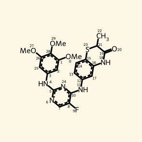 COc1cc(Nc2ncc(F)c(Nc3ccc4c(c3)NC(=O)C(C)S4)n2)cc(OC)c1OC